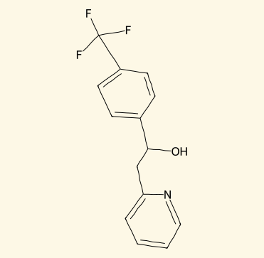 OC(Cc1ccccn1)c1ccc(C(F)(F)F)cc1